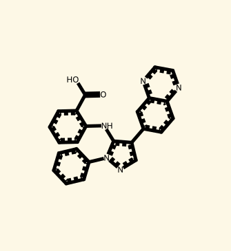 O=C(O)c1ccccc1Nc1c(-c2ccc3nccnc3c2)cnn1-c1ccccc1